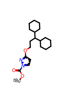 CC(C)(C)OC(=O)n1ccc(OCCC(C2CCCCC2)C2CCCCC2)n1